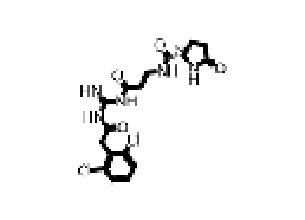 N=C(NC(=O)CCNC(=O)[C@@H]1CCC(=O)N1)NC(=O)Cc1c(Cl)cccc1Cl